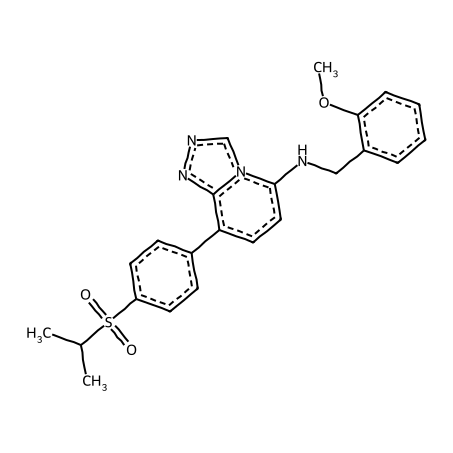 COc1ccccc1CNc1ccc(-c2ccc(S(=O)(=O)C(C)C)cc2)c2nncn12